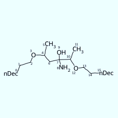 CCCCCCCCCCCCOC(C)CC(N)(O)C(C)OCCCCCCCCCCCC